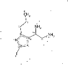 CCCc1nc(I)cn1C(N)CN